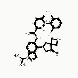 CC(C)n1ncc2c(N3CC(=N)C4(COC4)C3)c(NC(=O)c3ccc(=O)n(-c4c(F)cccc4F)n3)ccc21